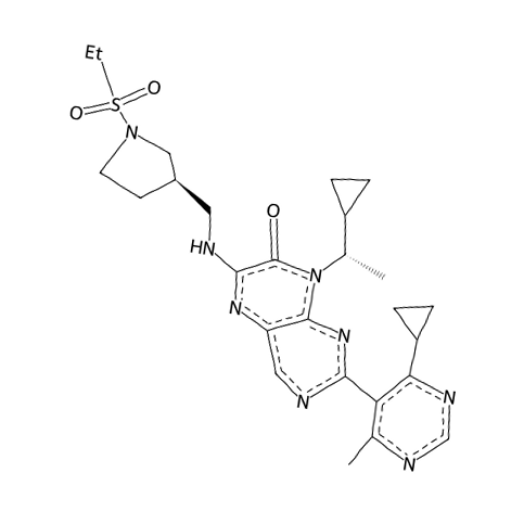 CCS(=O)(=O)N1CC[C@H](CNc2nc3cnc(-c4c(C)ncnc4C4CC4)nc3n([C@@H](C)C3CC3)c2=O)C1